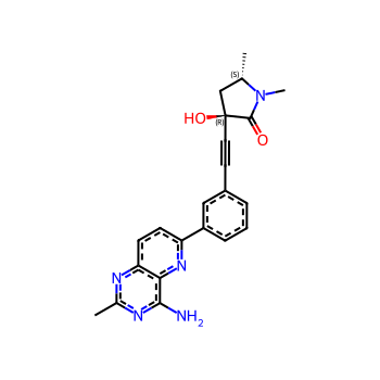 Cc1nc(N)c2nc(-c3cccc(C#C[C@]4(O)C[C@H](C)N(C)C4=O)c3)ccc2n1